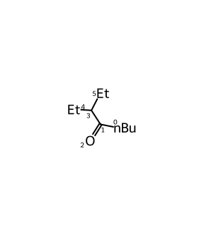 CCCCC(=O)C(CC)CC